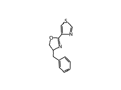 c1ccc(CC2COC(c3cscn3)=N2)cc1